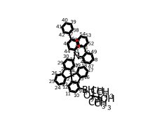 CC(C)(O)C(C)(C)OBc1cccc2c1-c1ccccc1C21c2ccccc2-c2ccc(N(c3ccc(-c4ccccc4)cc3)c3ccccc3-c3ccccc3)cc21